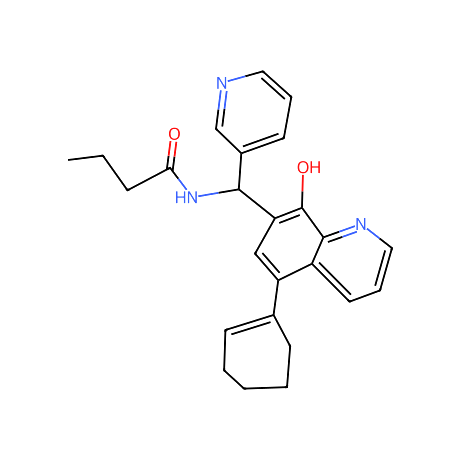 CCCC(=O)NC(c1cccnc1)c1cc(C2=CCCCC2)c2cccnc2c1O